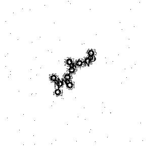 c1ccc(-c2cc(-n3c4ccccc4c4cc(-c5ccc6c(c5)c5ccccc5n6-c5ccc(-c6cc7c(cn6)oc6ccccc67)cc5)ccc43)nc(-c3ccccc3)n2)cc1